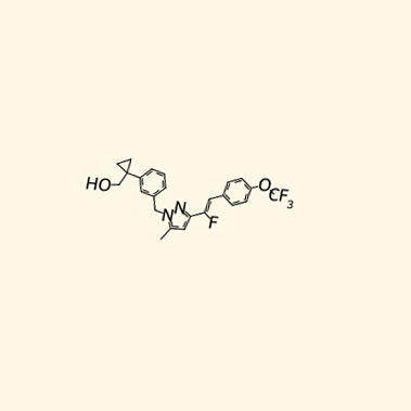 Cc1cc(/C(F)=C/c2ccc(OC(F)(F)F)cc2)nn1Cc1cccc(C2(CO)CC2)c1